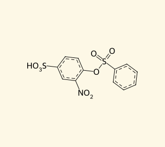 O=[N+]([O-])c1cc(S(=O)(=O)O)ccc1OS(=O)(=O)c1ccccc1